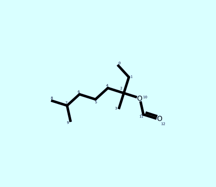 CCC(C)(CCCC(C)C)O[C]=O